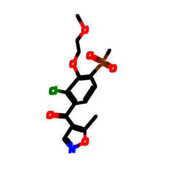 COCCOc1c(S(C)(=O)=O)ccc(C(=O)c2cnoc2C)c1Cl